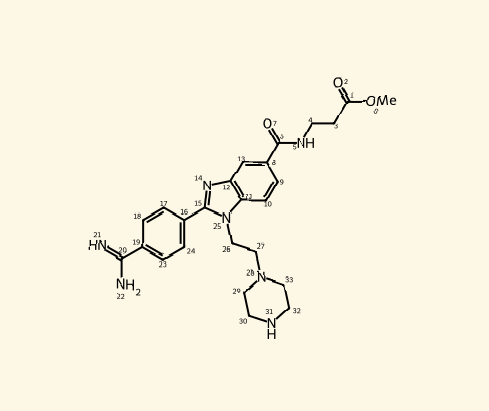 COC(=O)CCNC(=O)c1ccc2c(c1)nc(-c1ccc(C(=N)N)cc1)n2CCN1CCNCC1